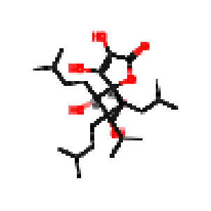 CC(C)CCC(O)(CCC(C)C)[C@@](O)(CCC(C)C)[C@@]1(CCC(C)C)OC(=O)C(O)=C1O